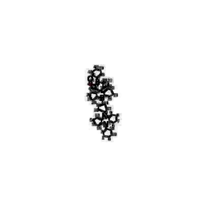 c1ccc(N2c3ccccc3N(c3ccc(B4c5ccccc5C5(c6ccccc64)c4ccccc4B4c6ccccc6Oc6cccc5c64)cc3)c3ccccc32)cc1